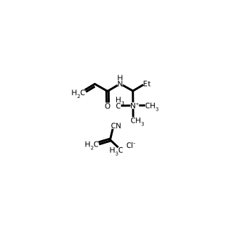 C=C(C)C#N.C=CC(=O)NC(CC)[N+](C)(C)C.[Cl-]